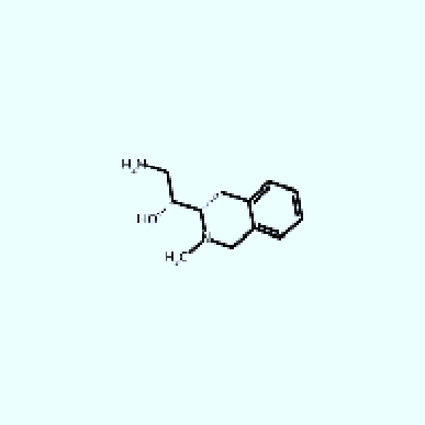 CN1Cc2ccccc2C[C@H]1[C@H](O)CN